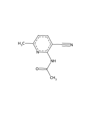 CC(=O)Nc1nc(C)ccc1C#N